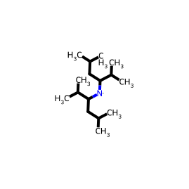 CC(C)CC([N]C(CC(C)C)C(C)C)C(C)C